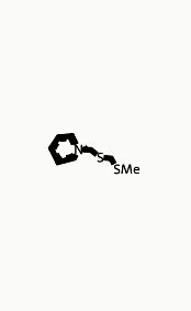 CSCSC[n+]1ccccc1